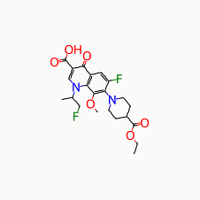 CCOC(=O)C1CCN(c2c(F)cc3c(=O)c(C(=O)O)cn(C(C)CF)c3c2OC)CC1